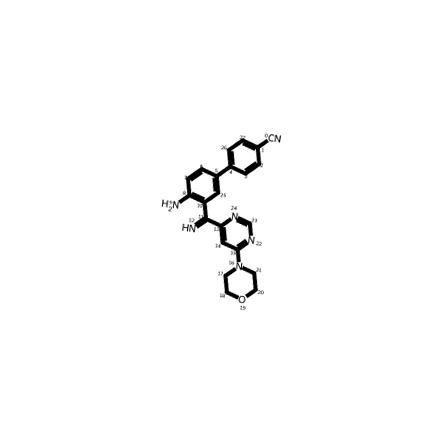 N#Cc1ccc(-c2ccc(N)c(C(=N)c3cc(N4CCOCC4)ncn3)c2)cc1